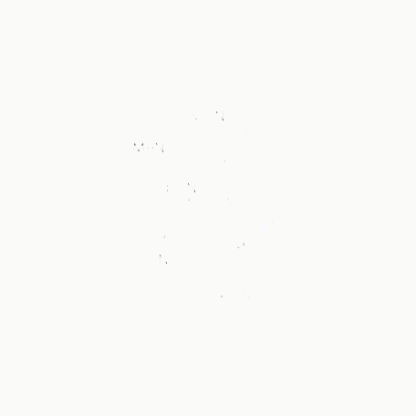 C=CC1=NC(C=C)C(C(C(=C)/C=C\C)N(C)c2ccncc2NC)c2ccccc21